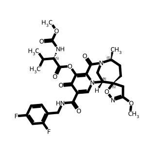 COC(=O)N[C@H](C(=O)Oc1c2n(cc(C(=O)NCc3ccc(F)cc3F)c1=O)[C@@H]1CN(C2=O)[C@@H](C)CC[C@]12CC(OC)=NO2)C(C)C